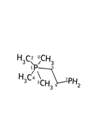 CP(C)(C)(C)CCP